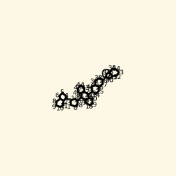 c1cc(-c2cccc3ccccc23)cc(-c2c3ccccc3c(-c3ccc4cc(-c5cc6ccccc6o5)ccc4c3)c3ccccc23)c1